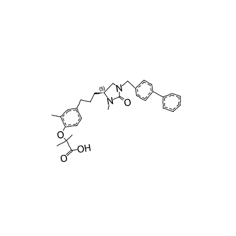 Cc1cc(CCC[C@H]2CN(Cc3ccc(-c4ccccc4)cc3)C(=O)N2C)ccc1OC(C)(C)C(=O)O